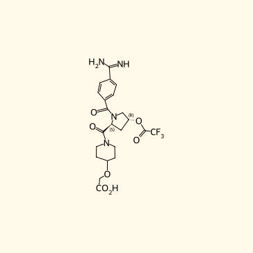 N=C(N)c1ccc(C(=O)N2C[C@H](OC(=O)C(F)(F)F)C[C@H]2C(=O)N2CCC(OCC(=O)O)CC2)cc1